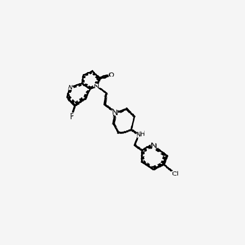 O=c1ccc2ncc(F)cc2n1CCN1CCC(NCc2ccc(Cl)cn2)CC1